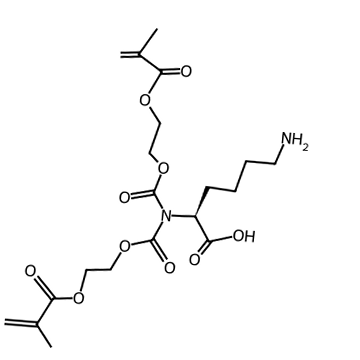 C=C(C)C(=O)OCCOC(=O)N(C(=O)OCCOC(=O)C(=C)C)[C@@H](CCCCN)C(=O)O